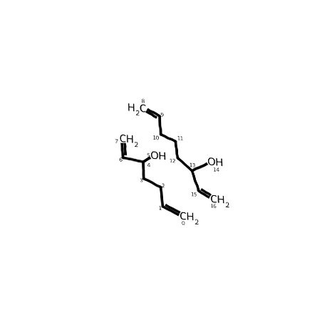 C=CCCC(O)C=C.C=CCCCC(O)C=C